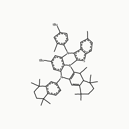 Cc1ccc2sc3c(c2c1)N(c1ccc(C(C)(C)C)cc1C)c1cc(C(C)(C)C)cc2c1B3C1=C(C=C3C(C1C)C(C)(C)CCC3(C)C)N2c1ccc2c(c1)C(C)(C)CCC2(C)C